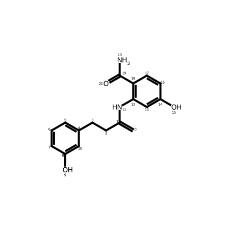 C=C(CCc1cccc(O)c1)Nc1cc(O)ccc1C(N)=O